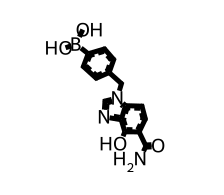 NC(=O)c1ccc2c(ncn2Cc2ccc(B(O)O)cc2)c1O